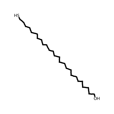 OCCCCCCCCCCCCCCCCCCCCCCCCCCS